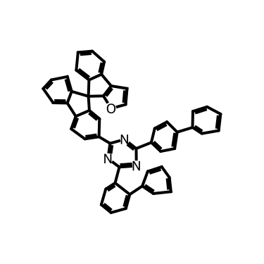 c1ccc(-c2ccc(-c3nc(-c4ccc5c(c4)C4(c6ccccc6-5)c5ccccc5-c5ccoc54)nc(-c4ccccc4-c4ccccc4)n3)cc2)cc1